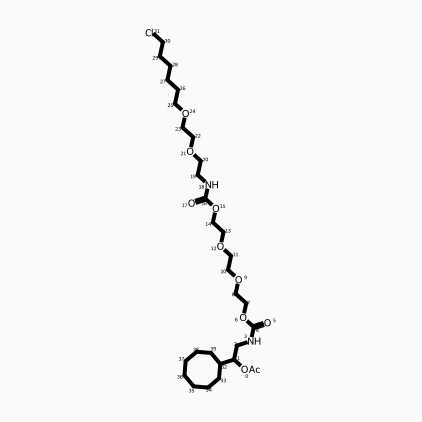 CC(=O)OC(CNC(=O)OCCOCCOCCOC(=O)NCCOCCOCCCCCCCl)C1CCCCCCC1